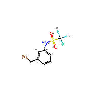 O=S(=O)(Nc1cccc(CBr)c1)C(F)(F)F